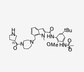 COc1c(NC(=O)c2cc3cccc(CN4CCCN(C(=O)[C@H]5CCNC5)CC4)c3n2C)cc(C(C)(C)C)cc1NS(C)(=O)=O